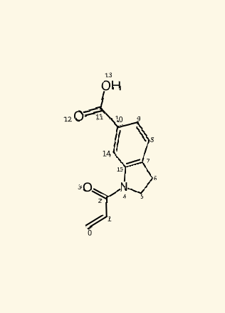 C=CC(=O)N1CCc2ccc(C(=O)O)cc21